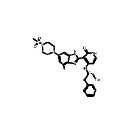 Cc1cc(N2CCN(S(C)(=O)=O)CC2)cc2[nH]c(-c3c(N[C@H](CO)Cc4ccccc4)cc[nH]c3=O)nc12